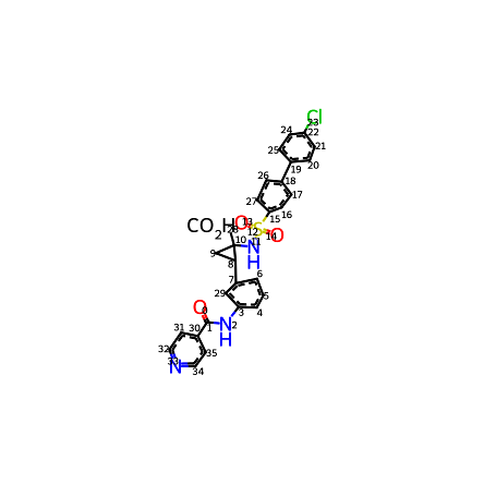 O=C(Nc1cccc(C2CC2(NS(=O)(=O)c2ccc(-c3ccc(Cl)cc3)cc2)C(=O)O)c1)c1ccncc1